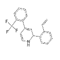 C=Cc1ccccc1C1C=C(c2ccccc2C(F)(F)F)C=CN1